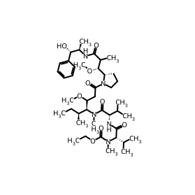 CCOC(=O)N(C)[C@H](C(=O)N[C@H](C(=O)N(C)[C@H](C(CC(=O)N1CCC[C@H]1[C@H](OC)C(C)C(=O)N[C@H](C)[C@@H](O)c1ccccc1)OC)[C@@H](C)CC)C(C)C)C(C)C